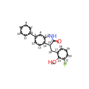 O=C1Nc2cc(-c3ccccc3)ccc2C1Cc1cccc(F)c1O